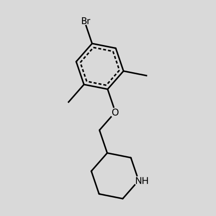 Cc1cc(Br)cc(C)c1OCC1CCCNC1